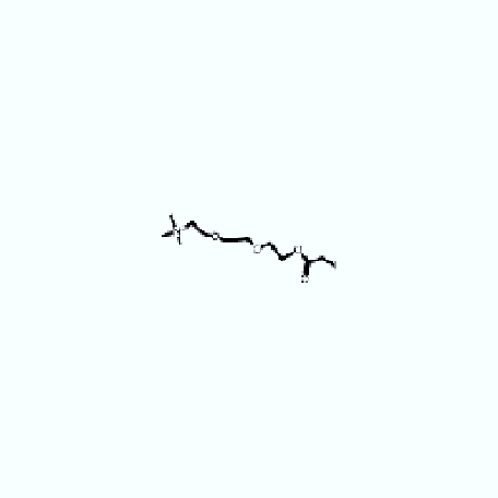 C[N+](C)(C)CCOCCOCCOC(=O)CI